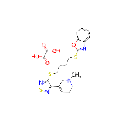 CN1CCC=C(c2nsnc2SCCCCSc2nc3ccccc3o2)C1.O=C(O)C(=O)O